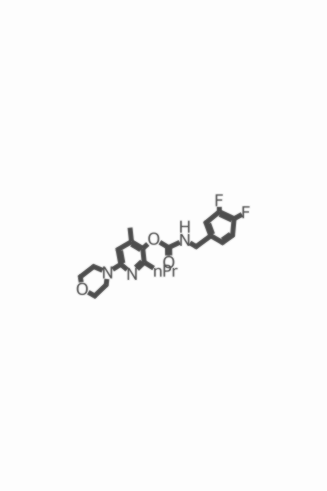 CCCc1nc(N2CCOCC2)cc(C)c1OC(=O)NCc1ccc(F)c(F)c1